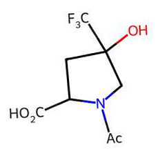 CC(=O)N1CC(O)(C(F)(F)F)CC1C(=O)O